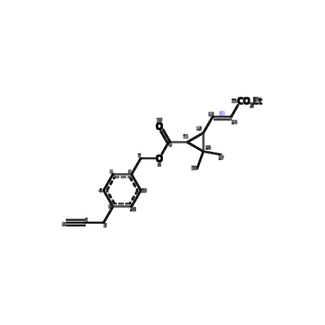 C#CCc1ccc(COC(=O)C2C(/C=C/C(=O)OCC)C2(C)C)cc1